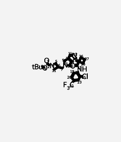 CC(C)(C)OC(=O)N1CC(CN2Cc3cnn(C4(C(=O)Nc5ccc(C(F)(F)F)cc5Cl)CCC4)c3C2)C1